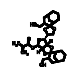 C=C(C)C(=O)OC1O[C@H](C2COC3(O2)C(CO)CC2CCCC3C2)[C@@H]2OC3(O[C@H]12)C(CO)CC1CCCC3C1